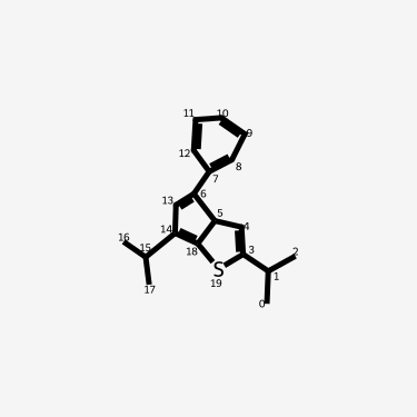 CC(C)C1=CC2C(c3ccccc3)=CC(C(C)C)=C2S1